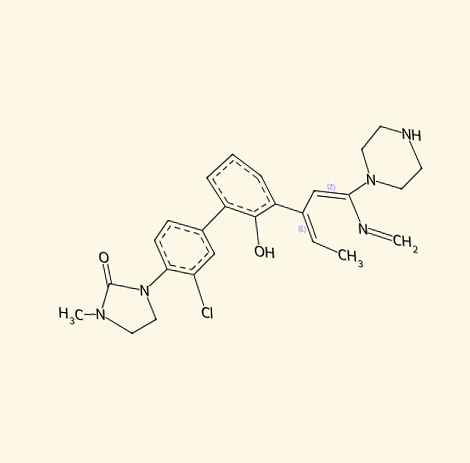 C=N/C(=C\C(=C/C)c1cccc(-c2ccc(N3CCN(C)C3=O)c(Cl)c2)c1O)N1CCNCC1